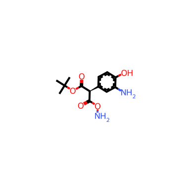 CC(C)(C)OC(=O)[C@H](C(=O)ON)c1ccc(O)c(N)c1